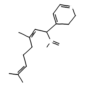 CC(C)=CCC/C(C)=C\C(C1=CC=NCC1)[N+](=O)[O-]